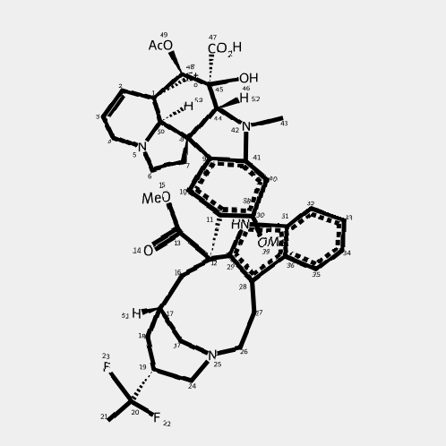 CC[C@]12C=CCN3CC[C@@]4(c5cc([C@@]6(C(=O)OC)C[C@H]7C[C@@H](C(C)(F)F)CN(CCc8c6[nH]c6ccccc86)C7)c(OC)cc5N(C)[C@H]4[C@@](O)(C(=O)O)[C@@H]1OC(C)=O)[C@@H]32